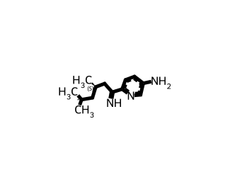 C[C](C)C[C@H](C)CC(=N)c1ccc(N)cn1